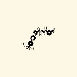 Cc1cc(N2CCC(N3CC[C@@H](C(=O)NCC(=O)Nc4cccc(C(F)(F)F)c4)C3)CC2)ccc1C(=O)O